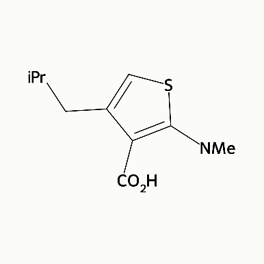 CNc1scc(CC(C)C)c1C(=O)O